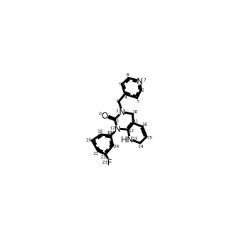 O=C1N(Cc2ccncc2)CC2=C(NCC=C2)N1c1cccc(F)c1